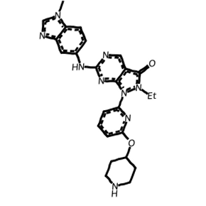 CCn1c(=O)c2cnc(Nc3ccc4c(c3)ncn4C)nc2n1-c1cccc(OC2CCNCC2)n1